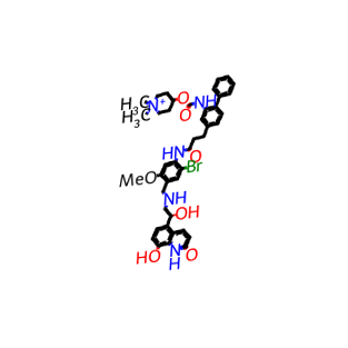 COc1cc(NC(=O)CCc2ccc(-c3ccccc3)c(NC(=O)OC3CC[N+](C)(C)CC3)c2)c(Br)cc1CNC[C@@H](O)c1ccc(O)c2[nH]c(=O)ccc12